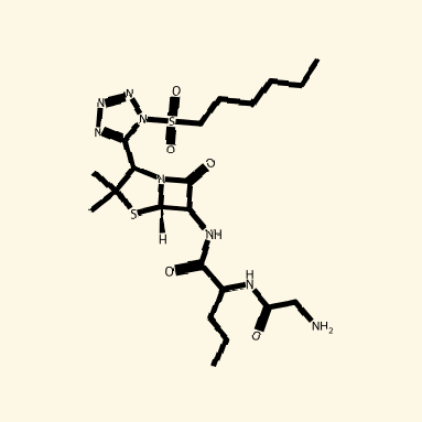 CCCCCCS(=O)(=O)n1nnnc1C1N2C(=O)C(NC(=O)C(CCC)NC(=O)CN)[C@@H]2SC1(C)C